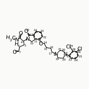 CNC(=O)C(CCC=O)N1Cc2c(OCCCCN3CCN(c4cccc(Cl)c4Cl)CC3)cccc2C1=O